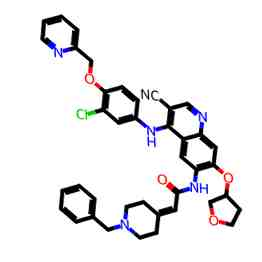 N#Cc1cnc2cc(OC3CCOC3)c(NC(=O)C=C3CCN(Cc4ccccc4)CC3)cc2c1Nc1ccc(OCc2ccccn2)c(Cl)c1